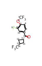 O=C(c1ccc(OC(F)(F)F)c(F)c1)[C@H]1C[C@H](C(F)(F)F)C1